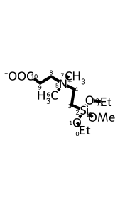 CCO[Si](CC[N+](C)(C)CCC(=O)[O-])(OC)OCC